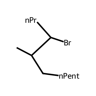 CCCCCCC(C)C(Br)CCC